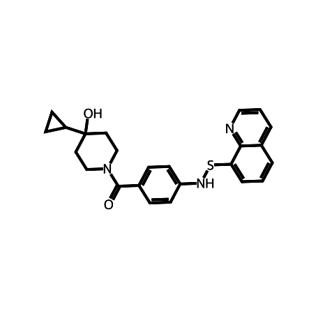 O=C(c1ccc(NSc2cccc3cccnc23)cc1)N1CCC(O)(C2CC2)CC1